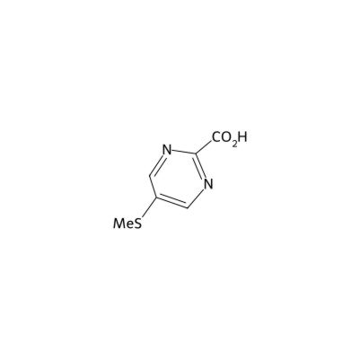 CSc1cnc(C(=O)O)nc1